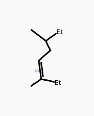 CC/C(C)=C\CC(C)CC